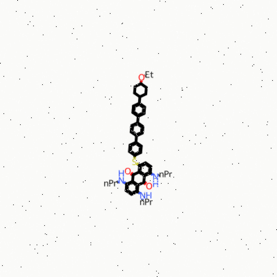 CCCNc1ccc(NCCC)c2c1C(=O)c1c(NCCC)ccc(Sc3ccc(-c4ccc(-c5ccc(C6CCC(OCC)CC6)cc5)cc4)cc3)c1C2=O